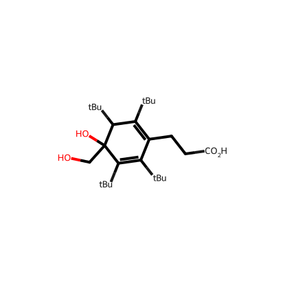 CC(C)(C)C1=C(C(C)(C)C)C(O)(CO)C(C(C)(C)C)C(C(C)(C)C)=C1CCC(=O)O